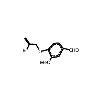 C=C(Br)COc1ccc(C=O)cc1OC